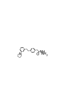 NNC(=O)Cc1ccc(CCc2cccc(N3CCCC3)c2)cc1